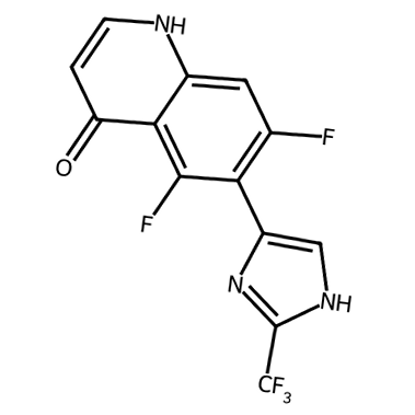 O=c1cc[nH]c2cc(F)c(-c3c[nH]c(C(F)(F)F)n3)c(F)c12